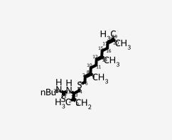 C=C(C)C(CSC/C=C(\C)CC/C=C(\C)CCC=C(C)C)NC(=S)NCCCC